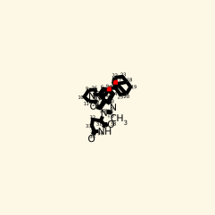 Cc1nc2cccc(N3C4CC3CN(CCC35CC6CC(CC(C6)C3)C5)C4)c2c(=O)n1C1CCC(=O)NC1=O